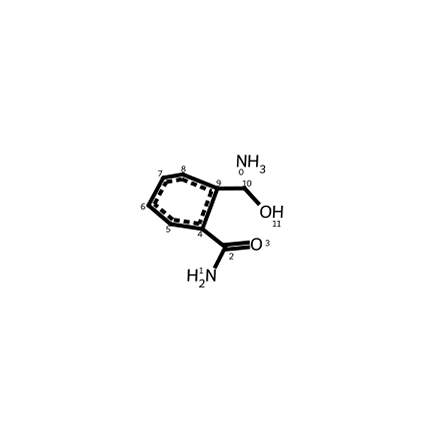 N.NC(=O)c1ccccc1CO